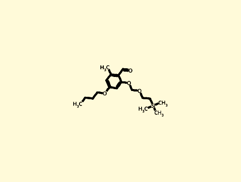 CCCCOc1cc(C)c(C=O)c(OCOCC[Si](C)(C)C)c1